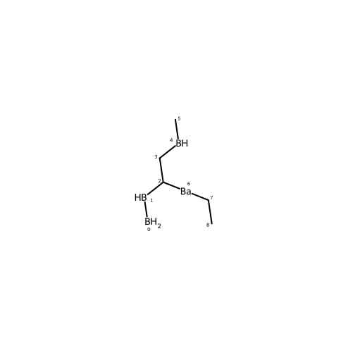 BB[CH](CBC)[Ba][CH2]C